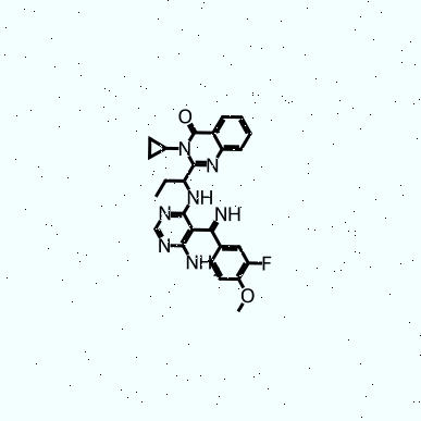 CCC(Nc1ncnc(N)c1C(=N)c1ccc(OC)c(F)c1)c1nc2ccccc2c(=O)n1C1CC1